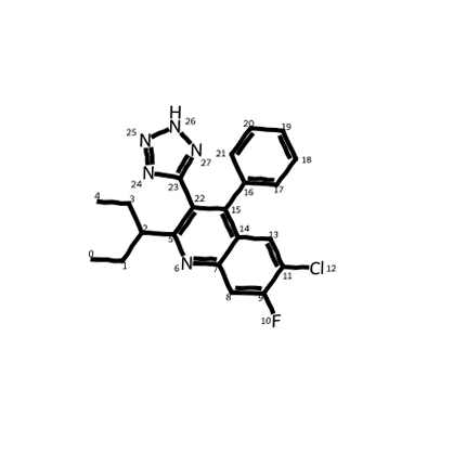 CCC(CC)c1nc2cc(F)c(Cl)cc2c(-c2ccccc2)c1-c1nn[nH]n1